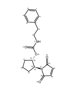 O=C(NCCc1ccccc1)O[C@H]1CCC[C@@H]1N1C(=O)C=CC1=O